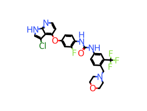 O=C(Nc1ccc(CN2CCOCC2)c(C(F)(F)F)c1)Nc1ccc(Oc2ccnc3[nH]cc(Cl)c23)cc1F